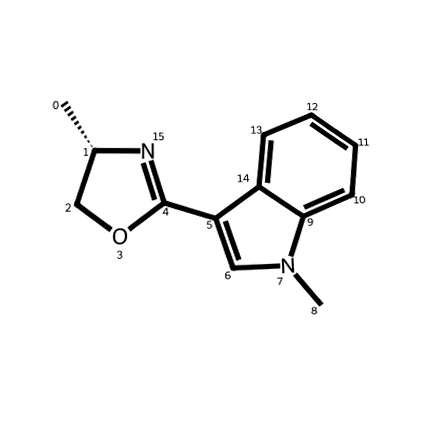 C[C@H]1COC(c2cn(C)c3ccccc23)=N1